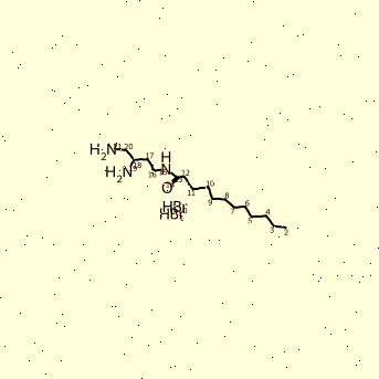 Br.Br.CCCCCCCCCCCC(=O)NCCC(N)CN